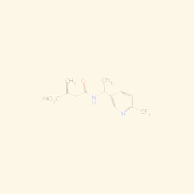 C=C(CC(=O)NC(C)c1ccc(C(F)(F)F)nc1)C(=O)O